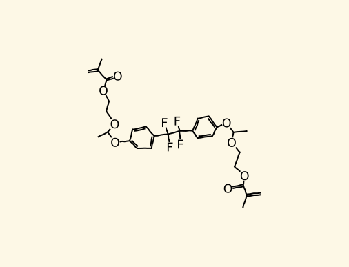 C=C(C)C(=O)OCCOC(C)Oc1ccc(C(F)(F)C(F)(F)c2ccc(OC(C)OCCOC(=O)C(=C)C)cc2)cc1